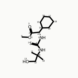 COC(=O)[C@@H](NC(=S)NC(C)(C)CO)C1CCCCC1